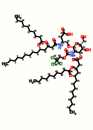 CCCCCCCCCCC[C@H](CC(=O)N[C@@H](CO[C@@H]1O[C@H](CO)[C@@H](O)[C@H](OC(=O)C[C@@H](CCCCCCCCCCC)OC(=O)CCCCCCCCC)[C@H]1NC(=O)OCC(Cl)(Cl)Cl)CC(=O)O)OC(=O)CCCCCCCCC